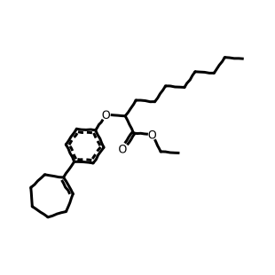 CCCCCCCCC(Oc1ccc(C2=CCCCCC2)cc1)C(=O)OCC